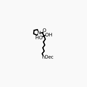 CCCCCCCCCCCCCCCCC(O)(O)C(=O)N1CCCC1